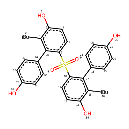 CCC(C)c1c(O)ccc(S(=O)(=O)c2ccc(O)c(C(C)CC)c2-c2ccc(O)cc2)c1-c1ccc(O)cc1